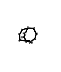 C1CN=C2CCCC(C1)CC2